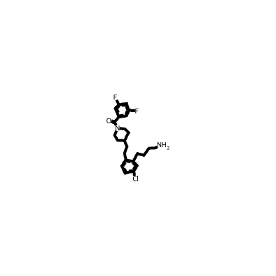 NCCCCc1cc(Cl)ccc1CCC1CCN(C(=O)c2cc(F)cc(F)c2)CC1